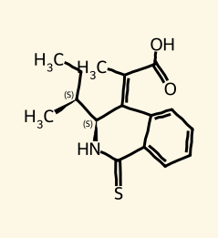 CC[C@H](C)[C@@H]1NC(=S)c2ccccc2C1=C(C)C(=O)O